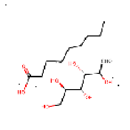 CCCCCCCCC(=O)O.O=C[C@@H](O)[C@@H](O)[C@H](O)[C@H](O)CO